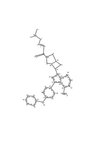 CN(C)C/C=C/C(=O)N1CC2CC(n3nc(-c4ccc(Oc5ccccc5)cc4)c4c(N)ncnc43)C2C1